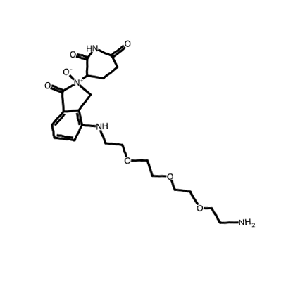 NCCOCCOCCOCCNc1cccc2c1C[N+]([O-])(C1CCC(=O)NC1=O)C2=O